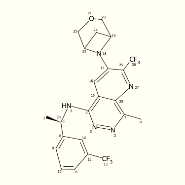 Cc1nnc(N[C@H](C)c2cccc(C(F)(F)F)c2)c2cc(N3C4COCC3C4)c(C(F)(F)F)nc12